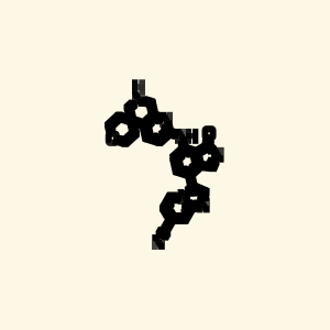 N#Cc1ccn2c(-c3ccc(Nc4ccc5c(n4)CNCC54CCOCC4)c4c3C=NC4=O)cnc2c1